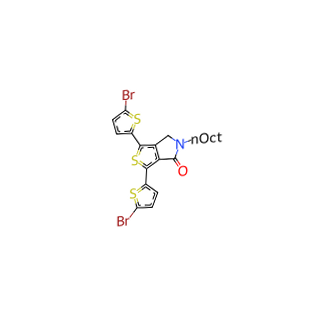 CCCCCCCCN1Cc2c(-c3ccc(Br)s3)sc(-c3ccc(Br)s3)c2C1=O